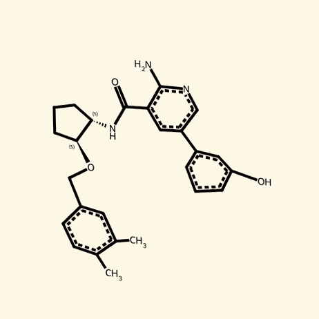 Cc1ccc(CO[C@H]2CCC[C@@H]2NC(=O)c2cc(-c3cccc(O)c3)cnc2N)cc1C